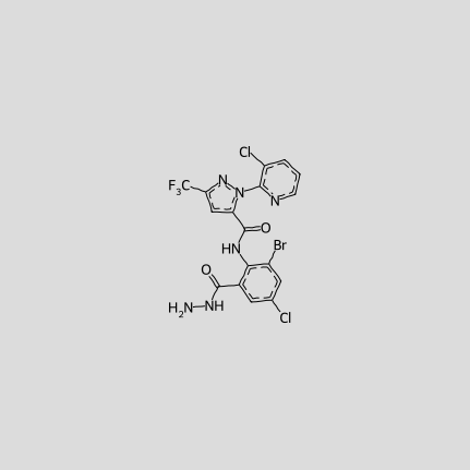 NNC(=O)c1cc(Cl)cc(Br)c1NC(=O)c1cc(C(F)(F)F)nn1-c1ncccc1Cl